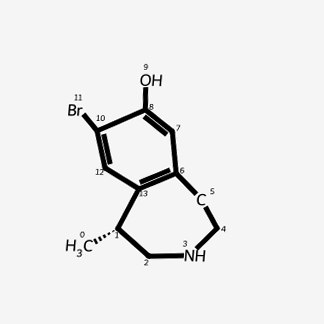 C[C@H]1CNCCc2cc(O)c(Br)cc21